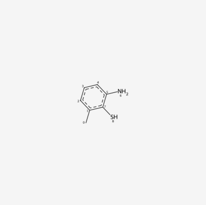 Cc1cccc(N)c1S